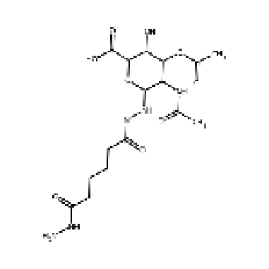 CC(=O)NC1C(NNC(=O)CCCCC(=O)NN)OC(C(=O)O)C(O)C1OC(C)=O